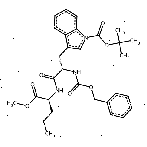 CCC[C@H](NC(=O)[C@H](Cc1cn(C(=O)OC(C)(C)C)c2ccccc12)NC(=O)OCc1ccccc1)C(=O)OC